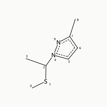 CSC(C)n1ccc(C)n1